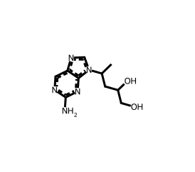 CC(CC(O)CO)n1cnc2cnc(N)nc21